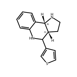 c1ccc2c(c1)NC(c1ccsc1)[C@H]1CCN[C@@H]21